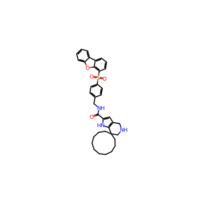 O=C(NCc1ccc(S(=O)(=O)c2cccc3c2oc2ccccc23)cc1)c1cc2c([nH]1)C1(CCCCCCCCCC1)CNC2